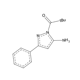 CC(C)(C)C(=O)n1nc(-c2ccccc2)cc1N